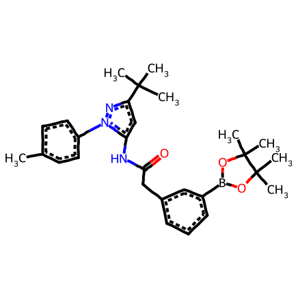 Cc1ccc(-n2nc(C(C)(C)C)cc2NC(=O)Cc2cccc(B3OC(C)(C)C(C)(C)O3)c2)cc1